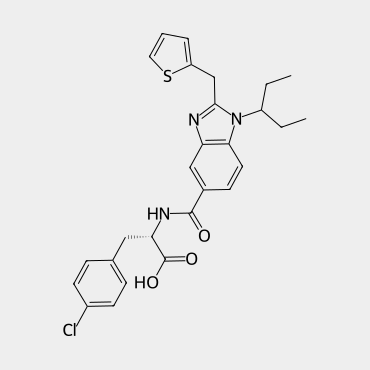 CCC(CC)n1c(Cc2cccs2)nc2cc(C(=O)N[C@@H](Cc3ccc(Cl)cc3)C(=O)O)ccc21